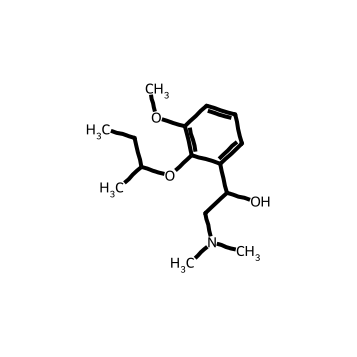 CCC(C)Oc1c(OC)cccc1C(O)CN(C)C